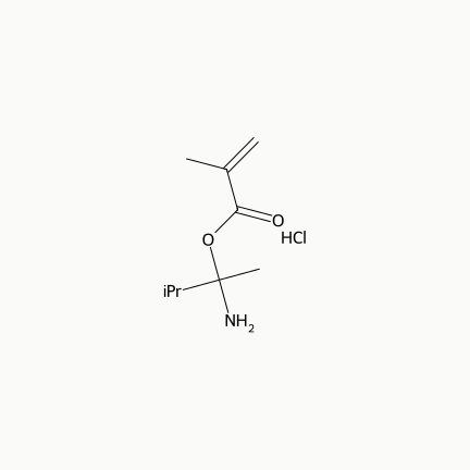 C=C(C)C(=O)OC(C)(N)C(C)C.Cl